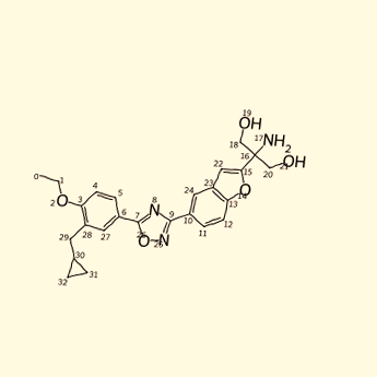 CCOc1ccc(-c2nc(-c3ccc4oc(C(N)(CO)CO)cc4c3)no2)cc1CC1CC1